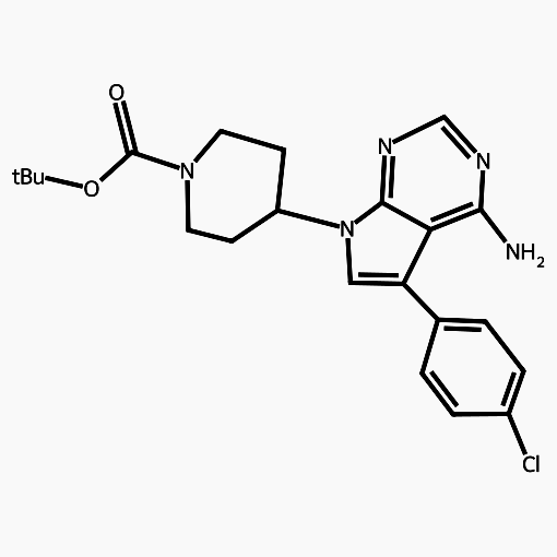 CC(C)(C)OC(=O)N1CCC(n2cc(-c3ccc(Cl)cc3)c3c(N)ncnc32)CC1